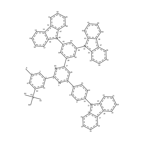 Cc1cc(-c2nc(-c3ccc(-n4c5ccccc5c5ccccc54)cc3)cc(-c3cc(-n4c5ccccc5c5ccccc54)cc(-n4c5ccccc5c5ccccc54)c3)n2)cc([Si](C)(C)C)c1